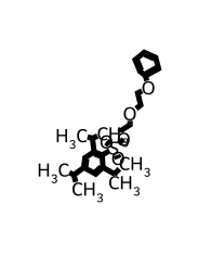 CC(C)c1cc(C(C)C)c(S(=O)(=O)OCCOCCOc2ccccc2)c(C(C)C)c1